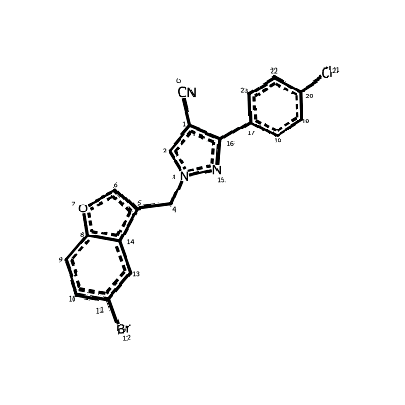 N#Cc1cn(Cc2coc3ccc(Br)cc23)nc1-c1ccc(Cl)cc1